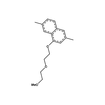 COCCOCCOc1cc(C)cc2ccc(C)cc12